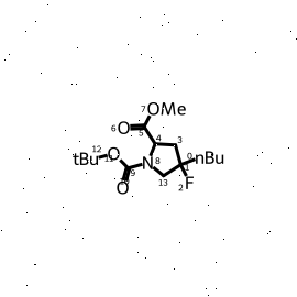 CCCCC1(F)CC(C(=O)OC)N(C(=O)OC(C)(C)C)C1